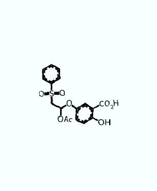 CC(=O)OC(CS(=O)(=O)c1ccccc1)Oc1ccc(O)c(C(=O)O)c1